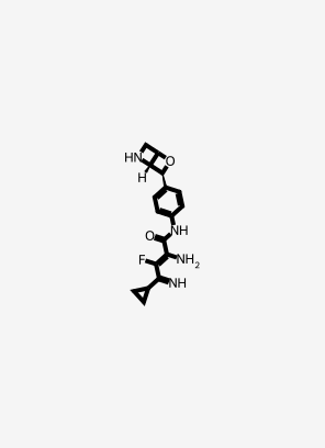 N=C(/C(F)=C(\N)C(=O)Nc1ccc([C@@H]2OC3CN[C@H]32)cc1)C1CC1